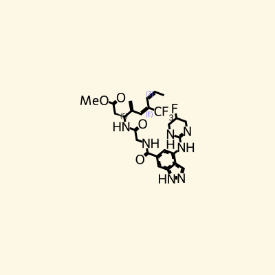 C=C(/C=C(\C=C/C)C(F)(F)F)[C@H](CC(=O)OC)NC(=O)CNC(=O)c1cc(NC2=NCC(F)CN2)c2cn[nH]c2c1